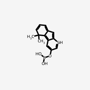 CC1(C)C=CC=C2C=c3[siH]cc(OB(O)O)cc3=C21